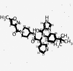 Cc1cc(C(=O)N2CCC(NC(=O)C(c3cccnc3)N(C(=O)c3c[nH]cn3)c3ccc(C(C)(C)C)cc3)CC2)no1